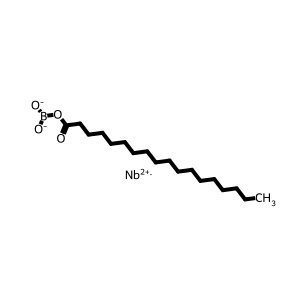 CCCCCCCCCCCCCCCCCC(=O)OB([O-])[O-].[Nb+2]